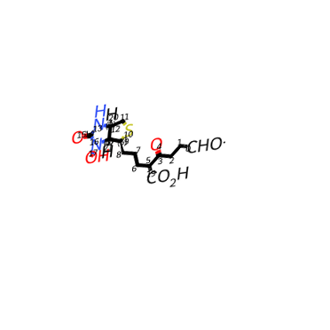 O=[C]CCC(=O)C(CCC[C@@H]1SC[C@@H]2NC(=O)N(O)[C@@H]21)C(=O)O